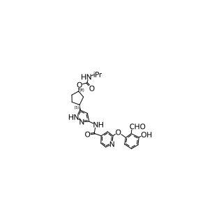 CC(C)NC(=O)O[C@@H]1CC[C@H](c2cc(NC(=O)c3ccnc(Oc4cccc(O)c4C=O)c3)n[nH]2)C1